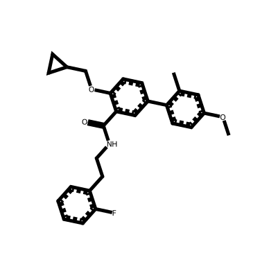 COc1ccc(-c2ccc(OCC3CC3)c(C(=O)NCCc3ccccc3F)c2)c(C)c1